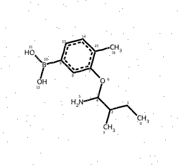 CCC(C)C(N)Oc1cc(B(O)O)ccc1C